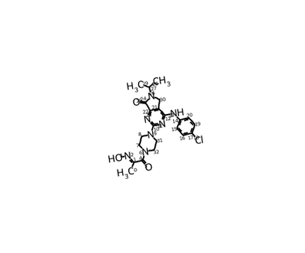 CC(=NO)C(=O)N1CCN(c2nc(Nc3ccc(Cl)cc3)c3c(n2)C(=O)N(C(C)C)C3)CC1